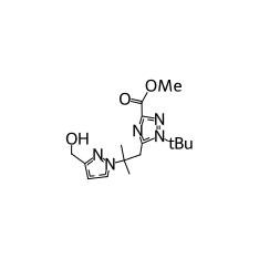 COC(=O)c1nc(CC(C)(C)n2ccc(CO)n2)n(C(C)(C)C)n1